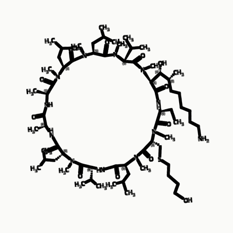 CC[C@@H]1NC(=O)[C@H]([C@H](O)[C@H](C)CCCCCCN)N(C)C(=O)[C@H](C(C)C)N(C)C(=O)[C@H](CC(C)C)N(C)C(=O)[C@H](CC(C)C)N(C)C(=O)[C@H](C)NC(=O)[C@@H](C)NC(=O)[C@@H](CC(C)C)N(C)C(=O)[C@@H](C(C)C)NC(=O)[C@H](CC(C)C)N(C)C(=O)[C@@H](CSCCCCO)N(C)C1=O